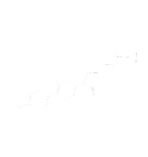 O=CN1CCN(c2ccc(N3CC(CNC(=S)C4CC4)OC3=O)cc2)CC1